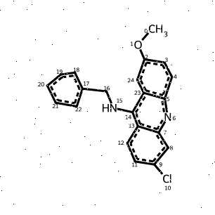 COc1ccc2nc3cc(Cl)ccc3c(NCc3ccccc3)c2c1